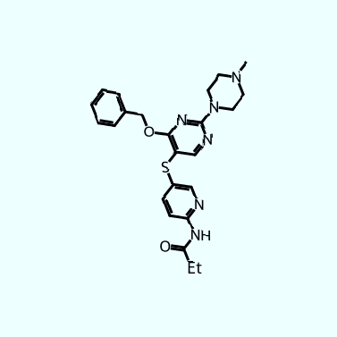 CCC(=O)Nc1ccc(Sc2cnc(N3CCN(C)CC3)nc2OCc2ccccc2)cn1